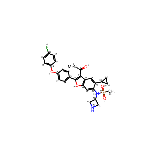 CNC(=O)c1c(-c2ccc(Oc3ccc(F)cc3)cc2)oc2cc(N(C3CNC3)S(C)(=O)=O)c(C3CC3)cc12